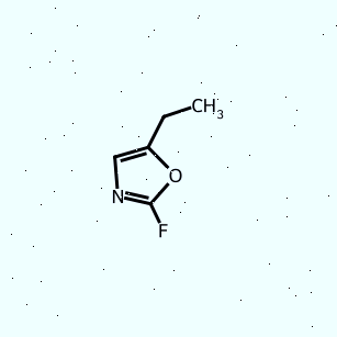 CCc1cnc(F)o1